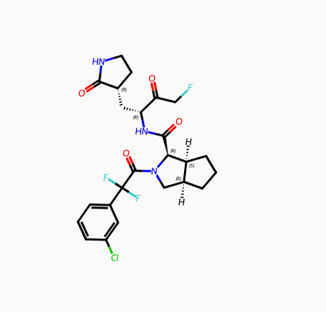 O=C1NCC[C@@H]1C[C@@H](NC(=O)[C@H]1[C@H]2CCC[C@H]2CN1C(=O)C(F)(F)c1cccc(Cl)c1)C(=O)CF